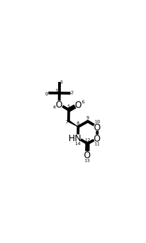 CC(C)(C)OC(=O)C[C@H]1COOC(=O)N1